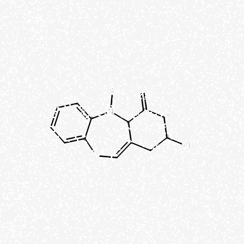 CC(=O)N1c2ccccc2SC=C2CC(C)CC(=O)C21